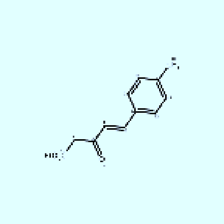 CCOC(=O)CC(=O)C=Cc1ccc(C(F)(F)F)cc1